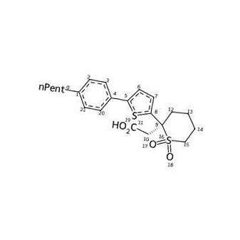 CCCCCc1ccc(-c2ccc([C@@]3(CC(=O)O)CCCCS3(=O)=O)s2)cc1